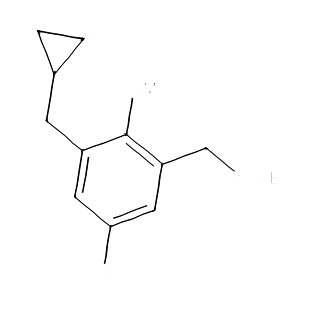 CCOC(=O)Cc1cc(Cl)cc(CC2CC2)c1OC